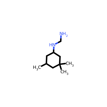 CC1CC(NCN)CC(C)(C)C1